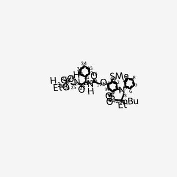 CCCCC1(CC)CN(c2ccccc2)c2cc(SC)c(OCC(=O)NC(C(=O)NCP(C)(=O)OCC)c3ccccc3)cc2S(=O)(=O)C1